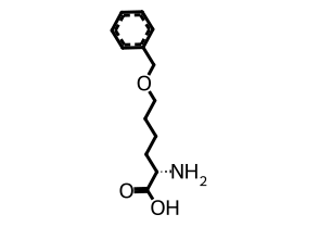 N[C@@H](CCCCOCc1ccccc1)C(=O)O